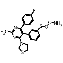 NOOSc1cccc(-c2c(-c3ccc(F)cc3)nc(C(F)(F)F)nc2N2CCSC2)c1